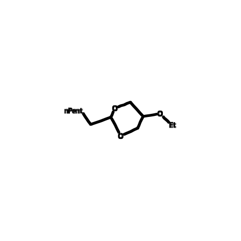 CCCCCCC1OCC(OCC)CO1